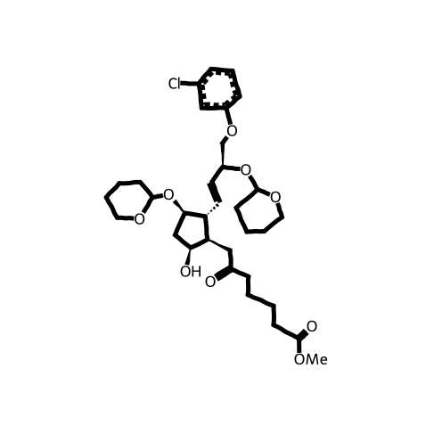 COC(=O)CCCCC(=O)C[C@@H]1[C@@H](/C=C/[C@@H](COc2cccc(Cl)c2)OC2CCCCO2)[C@H](OC2CCCCO2)C[C@@H]1O